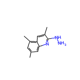 Cc1cc(C)c2cc(C)c(NN)nc2c1